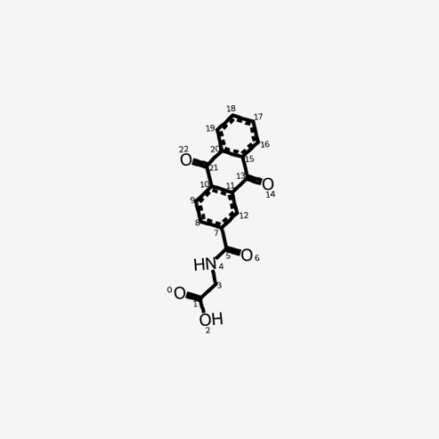 O=C(O)CNC(=O)c1ccc2c(c1)C(=O)c1ccccc1C2=O